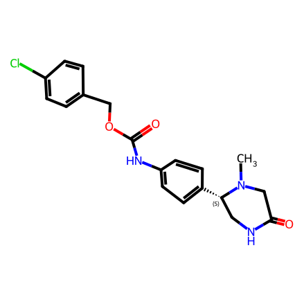 CN1CC(=O)NC[C@@H]1c1ccc(NC(=O)OCc2ccc(Cl)cc2)cc1